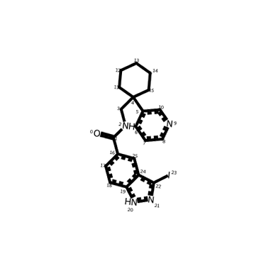 O=C(NCC1(c2cccnc2)CCCCC1)c1ccc2[nH]nc(I)c2c1